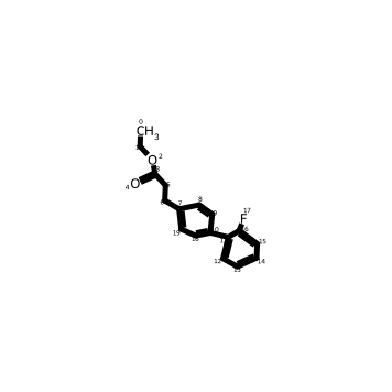 CCOC(=O)CCc1ccc(-c2ccccc2F)cc1